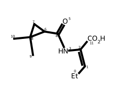 CC/C=C(\NC(=O)C1CC1(C)C)C(=O)O